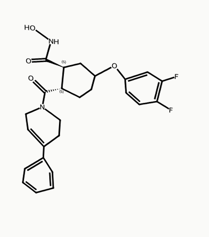 O=C(NO)[C@H]1CC(Oc2ccc(F)c(F)c2)CC[C@@H]1C(=O)N1CC=C(c2ccccc2)CC1